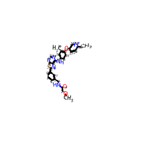 COCC(=O)NCc1cccc(-c2nc3c(Nc4ccc(Oc5ccc(C)nc5)c(C)c4)ncnc3s2)c1